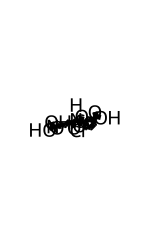 O=C(CCCON(O)O)NS(=O)(=O)c1cc(C(=O)O)ccc1Cl